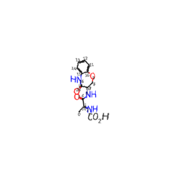 C[C@H](NC(=O)O)C(=O)N[C@H]1COc2ccccc2NC1=O